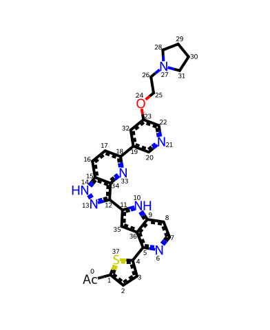 CC(=O)c1ccc(-c2nccc3[nH]c(-c4n[nH]c5ccc(-c6cncc(OCCN7CCCC7)c6)nc45)cc23)s1